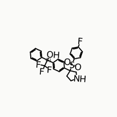 O=S(=O)(c1ccc(F)cc1)C1(c2ccc([C@@](O)(c3ccccc3)C(F)(F)F)cc2)CCNC1